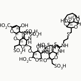 O=C(O)C1=C[C@@H](O)C(NS(=O)(=O)O)[C@H](O[C@@H]2C(CS(=O)(=O)O)O[C@H](CO[C@@H]3C(C(=O)O)O[C@@H](O[C@@H]4C(CS(=O)(=O)O)O[C@@H](NC(=S)NCCSCC5O[C@@H]6OCCCCCC5[C@H](O)C6O)C(NS(=O)(=O)O)[C@@H]4O)C(NS(=O)(=O)O)[C@@H]3O)C(NS(=O)(=O)O)[C@@H]2O)O1